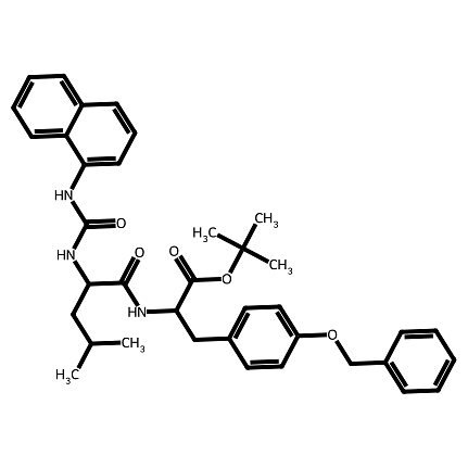 CC(C)CC(NC(=O)Nc1cccc2ccccc12)C(=O)NC(Cc1ccc(OCc2ccccc2)cc1)C(=O)OC(C)(C)C